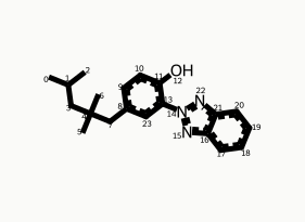 CC(C)CC(C)(C)Cc1ccc(O)c(-n2nc3ccccc3n2)c1